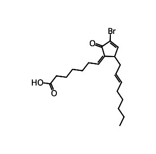 CCCCCC=CCC1C=C(Br)C(=O)C1=CCCCCCC(=O)O